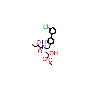 CCOC(=O)[C@H](O)C[C@@H](Cc1ccc(-c2cccc(Cl)c2)cc1)NC(=O)C(=O)CC